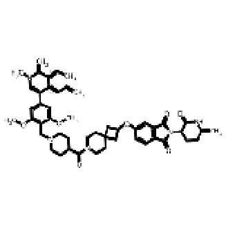 C=C/C=C1/C(c2cc(OC)c(CN3CCC(C(=O)N4CCC5(CC4)CC(Oc4ccc6c(c4)C(=O)N(C4CCC(=C)NC4=O)C6=O)C5)CC3)c(OC)c2)=CN(C)C(=C)/C1=C/C